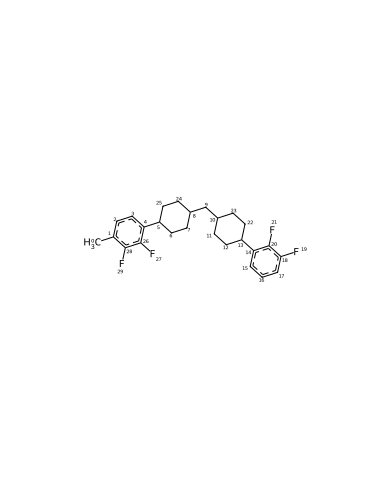 Cc1ccc(C2CCC(CC3CCC(c4cccc(F)c4F)CC3)CC2)c(F)c1F